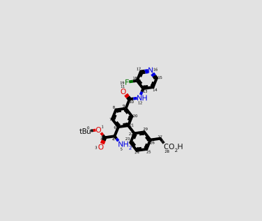 CC(C)(C)OC(=O)C(N)c1ccc(C(=O)Nc2ccncc2F)cc1-c1cccc(CC(=O)O)c1